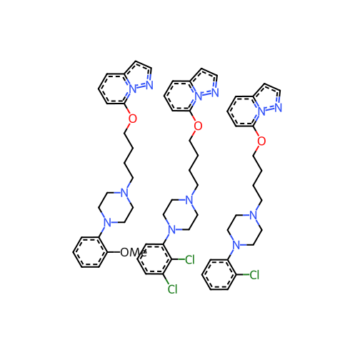 COc1ccccc1N1CCN(CCCCOc2cccc3ccnn23)CC1.Clc1cccc(N2CCN(CCCCOc3cccc4ccnn34)CC2)c1Cl.Clc1ccccc1N1CCN(CCCCOc2cccc3ccnn23)CC1